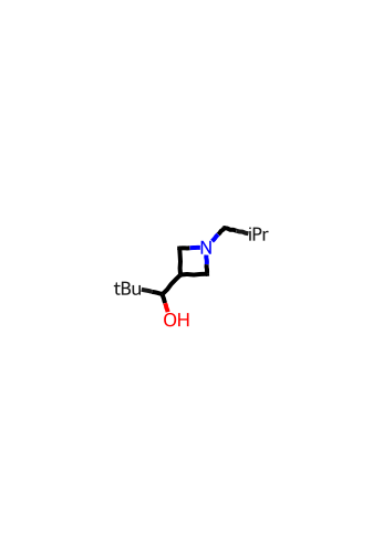 CC(C)CN1CC(C(O)C(C)(C)C)C1